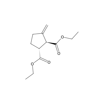 C=C1CC[C@@H](C(=O)OCC)[C@@H]1C(=O)OCC